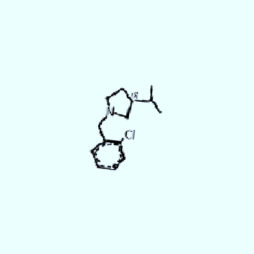 CC(C)[C@@H]1CCN(Cc2ccccc2Cl)C1